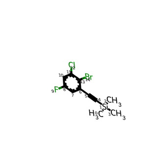 C[Si](C)(C)C#Cc1cc(F)cc(Cl)c1Br